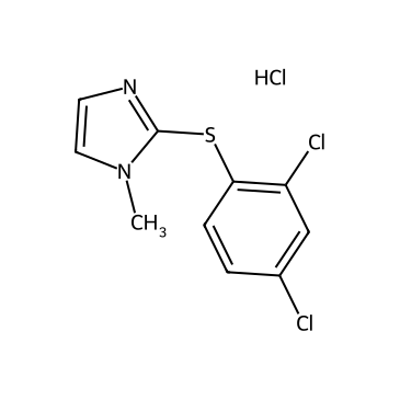 Cl.Cn1ccnc1Sc1ccc(Cl)cc1Cl